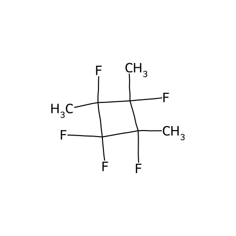 CC1(F)C(C)(F)C(F)(F)C1(C)F